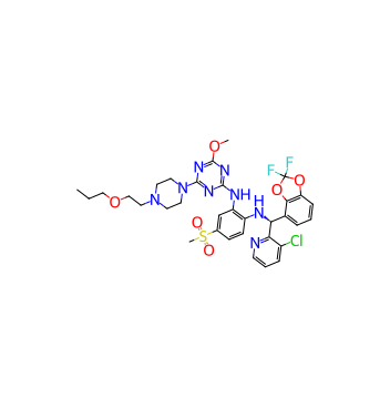 CCCOCCN1CCN(c2nc(Nc3cc(S(C)(=O)=O)ccc3N[C@@H](c3cccc4c3OC(F)(F)O4)c3ncccc3Cl)nc(OC)n2)CC1